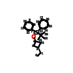 CC[C@H]1C[C@@H](O[Si](c2ccccc2)(c2ccccc2)C(C)(C)C)C1